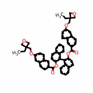 CCC1(COc2ccc3cc(C(=O)Oc4ccc5ccccc5c4-c4c(OC(=O)c5ccc6cc(OCC7(CC)COC7)ccc6c5)ccc5ccccc45)ccc3c2)COC1